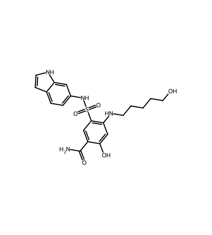 NC(=O)c1cc(S(=O)(=O)Nc2ccc3cc[nH]c3c2)c(NCCCCCO)cc1O